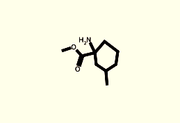 COC(=O)C1(N)CCCC(C)C1